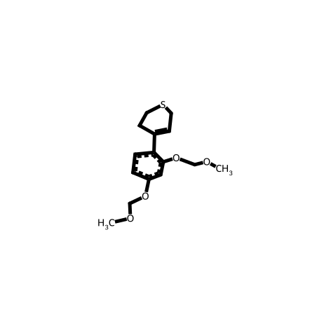 COCOc1ccc(C2=CCSCC2)c(OCOC)c1